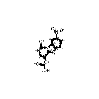 O=C(O)Oc1cnc(=O)n2c1sc1ccc([N+](=O)[O-])cc12